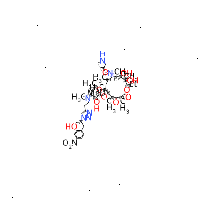 CC[C@H]1OC(=O)[C@H](C)C(=O)[C@H](C)[C@@H](O[C@@H]2O[C@H](C)C[C@H](N(C)CCc3cn([C@H](CO)Cc4ccc([N+](=O)[O-])cc4)nn3)[C@H]2O)[C@](C)(OC)C[C@@H](C)/C(=N\O[C@@H]2CCNC2)[C@H](C)[C@@H](O)[C@]1(C)O